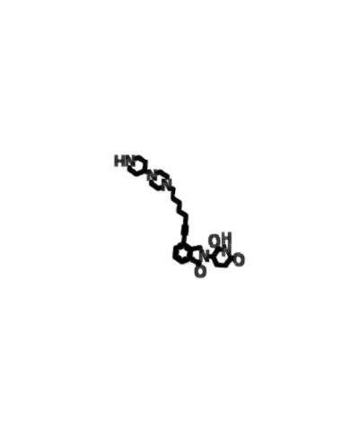 O=C1CCC(N2Cc3c(C#CCCCCCN4CCN(C5CCNCC5)CC4)cccc3C2=O)C(=O)N1